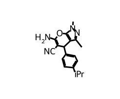 Cc1nn(C)c2c1C(c1ccc(C(C)C)cc1)C(C#N)=C(N)O2